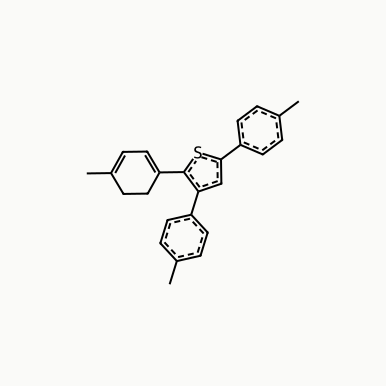 CC1=CC=C(c2sc(-c3ccc(C)cc3)cc2-c2ccc(C)cc2)CC1